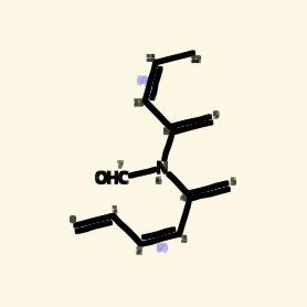 C=C/C=C\C(=C)N(C=O)C(=C)/C=C\C